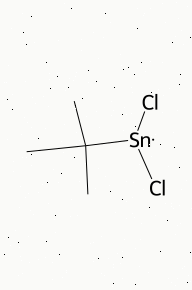 C[C](C)(C)[Sn]([Cl])[Cl]